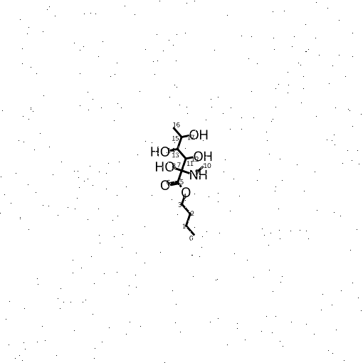 CCCCOC(=O)C(O)(NC)C(O)C(O)C(C)O